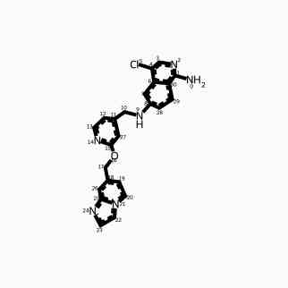 Nc1ncc(Cl)c2cc(NCc3ccnc(OCc4ccn5ccnc5c4)c3)ccc12